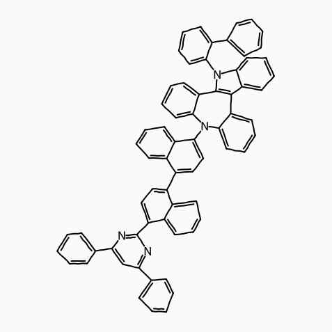 c1ccc(-c2cc(-c3ccccc3)nc(-c3ccc(-c4ccc(N5c6ccccc6-c6c(n(-c7ccccc7-c7ccccc7)c7ccccc67)-c6ccccc65)c5ccccc45)c4ccccc34)n2)cc1